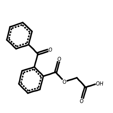 O=C(O)COC(=O)c1ccccc1C(=O)c1ccccc1